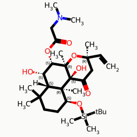 C=C[C@@]1(C)CC(=O)[C@]2(O)[C@@]3(C)[C@@H](O[Si](C)(C)C(C)(C)C)CCC(C)(C)[C@@H]3[C@H](O)[C@H](OC(=O)CN(C)C)[C@@]2(C)O1